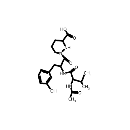 CC(=O)NC(C(=O)NC(Cc1cccc(O)c1)C(=O)N1CCCC(C(=O)O)N1)C(C)C